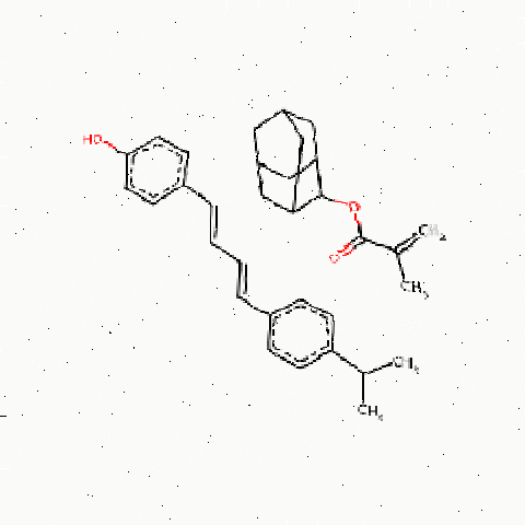 C=C(C)C(=O)OC1C2CC3CC(C2)CC1C3.CC(C)c1ccc(C=CC=Cc2ccc(O)cc2)cc1